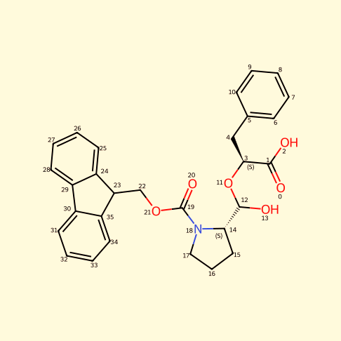 O=C(O)[C@H](Cc1ccccc1)OC(O)[C@@H]1CCCN1C(=O)OCC1c2ccccc2-c2ccccc21